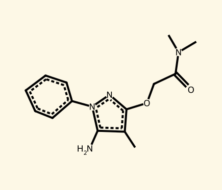 Cc1c(OCC(=O)N(C)C)nn(-c2ccccc2)c1N